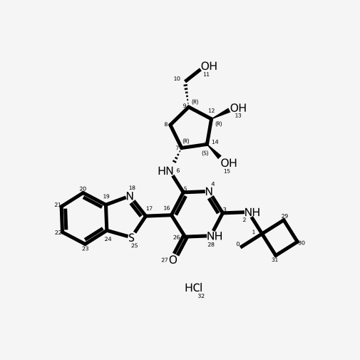 CC1(Nc2nc(N[C@@H]3C[C@H](CO)[C@@H](O)[C@H]3O)c(-c3nc4ccccc4s3)c(=O)[nH]2)CCC1.Cl